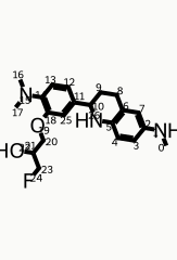 CNc1ccc2c(c1)CCC(c1ccc(N(C)C)c(OCC(O)CF)c1)N2